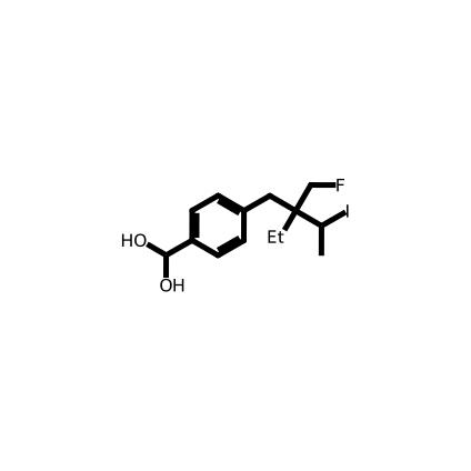 CCC(CF)(Cc1ccc(C(O)O)cc1)C(C)I